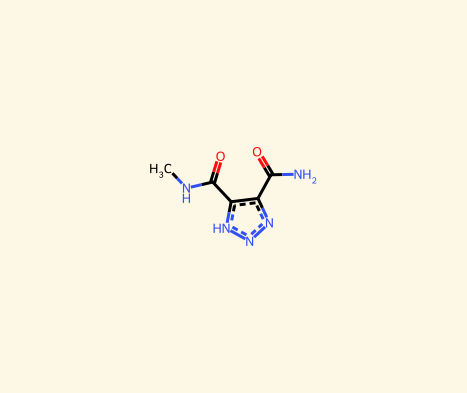 CNC(=O)c1[nH]nnc1C(N)=O